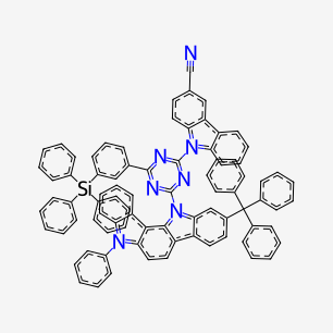 N#Cc1ccc2c(c1)c1ccccc1n2-c1nc(-c2cccc([Si](c3ccccc3)(c3ccccc3)c3ccccc3)c2)nc(-n2c3cc(C(c4ccccc4)(c4ccccc4)c4ccccc4)ccc3c3ccc4c(c5ccccc5n4-c4ccccc4)c32)n1